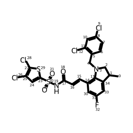 CC1CN(Cc2ccc(Cl)cc2Cl)c2c(/C=C/C(=O)NS(=O)(=O)c3cc(Cl)c(Cl)s3)cc(F)cc21